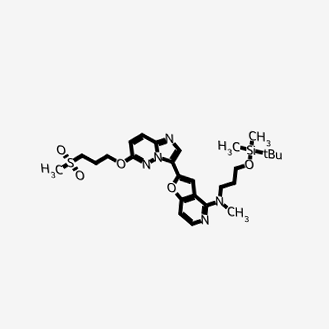 CN(CCCO[Si](C)(C)C(C)(C)C)c1nccc2oc(-c3cnc4ccc(OCCCS(C)(=O)=O)nn34)cc12